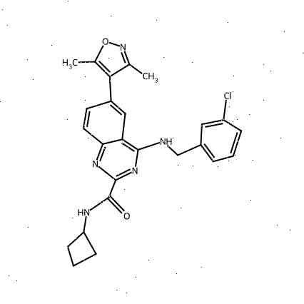 Cc1noc(C)c1-c1ccc2nc(C(=O)NC3CCC3)nc(NCc3cccc(Cl)c3)c2c1